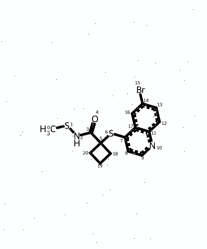 CSNC(=O)C1(Sc2ccnc3ccc(Br)cc23)CCC1